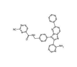 N#Cc1nccc(C(=O)NCc2ccc(-n3c(-c4cccnc4N)nc4ccc(-c5ccccc5)nc43)cc2)n1